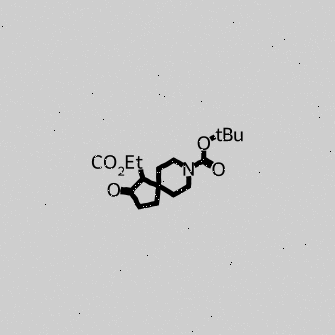 CCOC(=O)C1C(=O)CCC12CCN(C(=O)OC(C)(C)C)CC2